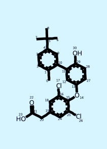 Cc1ccc(C(C)(C)C)cc1-c1cc(Oc2c(Cl)cc(CC(=O)O)cc2Cl)ccc1O